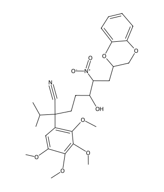 COc1cc(C(C#N)(CCC(O)C(CC2COc3ccccc3O2)[N+](=O)[O-])C(C)C)c(OC)c(OC)c1OC